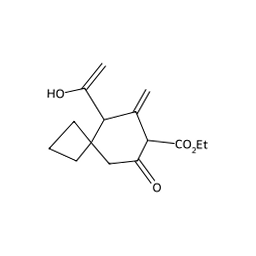 C=C(O)C1C(=C)C(C(=O)OCC)C(=O)CC12CCC2